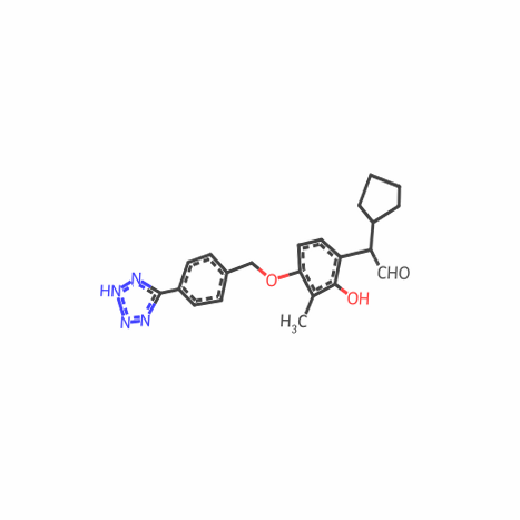 Cc1c(OCc2ccc(-c3nn[nH]n3)cc2)ccc(C(C=O)C2CCCC2)c1O